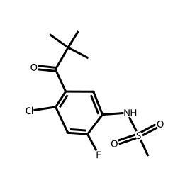 CC(C)(C)C(=O)c1cc(NS(C)(=O)=O)c(F)cc1Cl